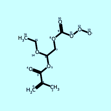 C=C(C)C(=O)OC(COC(=O)OO[O])OCC